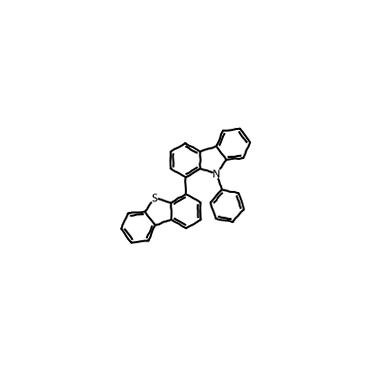 c1ccc(-n2c3ccccc3c3cccc(-c4cccc5c4sc4ccccc45)c32)cc1